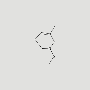 CSN1CCC=C(C)C1